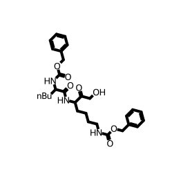 CCCCC(NC(=O)OCc1ccccc1)C(=O)NC(CCCCNC(=O)OCc1ccccc1)C(=O)CO